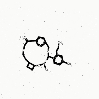 C=C1CCCCC2CCC2CN(C)CC(c2ccc(C)cc2CCC)CCc2ccc1cc2